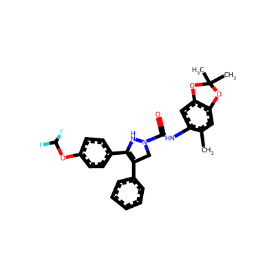 Cc1cc2c(cc1NC(=O)N1CC(c3ccccc3)=C(c3ccc(OC(F)F)cc3)N1)OC(C)(C)O2